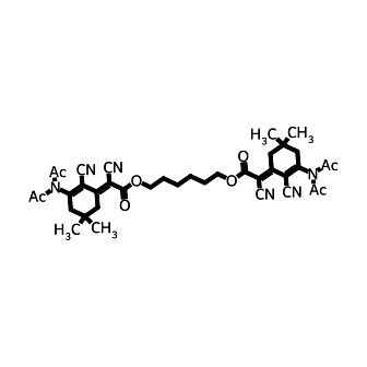 CC(=O)N(C(C)=O)C1=C(C#N)/C(=C(\C#N)C(=O)OCCCCCCOC(=O)/C(C#N)=C2\CC(C)(C)CC(N(C(C)=O)C(C)=O)=C2C#N)CC(C)(C)C1